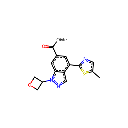 COC(=O)c1cc(-c2ncc(C)s2)c2cnn(C3COC3)c2c1